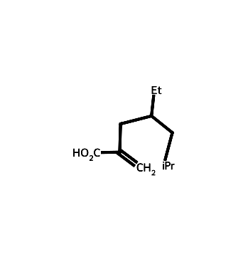 C=C(CC(CC)CC(C)C)C(=O)O